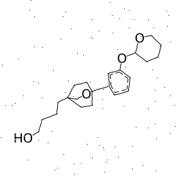 OCCCCC12CCC(c3cccc(OC4CCCCO4)c3)(CC1)OC2